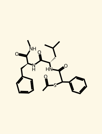 CNC(=O)[C@H](Cc1ccccc1)NC(=O)[C@H](CC(C)C)NC(=O)C(SC(C)=O)c1ccccc1